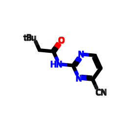 CC(C)(C)CC(=O)Nc1nccc(C#N)n1